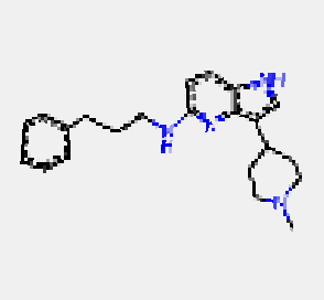 CN1CCC(c2c[nH]c3ccc(NCCCc4ccccc4)nc23)CC1